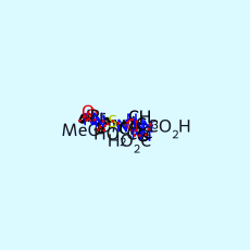 COc1cccc(OC)c1-c1cc(C2=NC3(C(=O)O2)C2CC4CC(C2)CC3C4)nn1-c1ccc(SCCCN(C)CCCN(C)C(=O)CN2CCN(CC(=O)O)CCN(CC(=O)O)CCN(CC(=O)O)CC2)cc1C(C)C